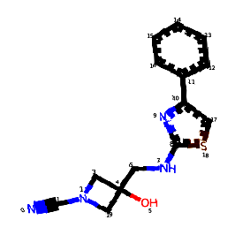 N#CN1CC(O)(CNc2nc(-c3ccccc3)cs2)C1